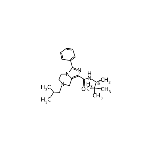 CC(C)CN1CCn2c(-c3ccccc3)nc(C(=O)N[C@@H](C)C(C)(C)C)c2C1